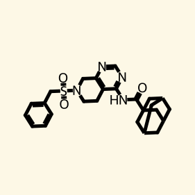 O=C(Nc1ncnc2c1CCN(S(=O)(=O)Cc1ccccc1)C2)C12CC3CC(CC(C3)C1)C2